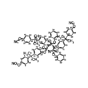 CC(C)(c1ccc(OC#N)cc1)c1ccc(OP2(O)=NP(Oc3ccccc3)(Oc3ccc(C(C)(C)c4ccc(OC#N)cc4)cc3)=NP(Oc3ccccc3)(Oc3ccc(C(C)(C)c4ccc(OC#N)cc4)cc3)=N2)cc1